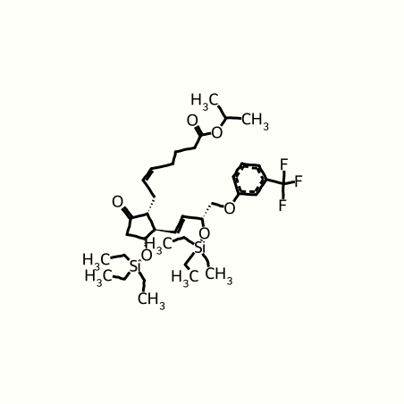 CC[Si](CC)(CC)O[C@H](/C=C/[C@H]1[C@H](O[Si](CC)(CC)CC)CC(=O)[C@@H]1C/C=C\CCCC(=O)OC(C)C)COc1cccc(C(F)(F)F)c1